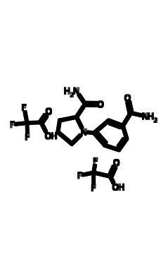 NC(=O)c1cccc(N2CCCC2C(N)=O)c1.O=C(O)C(F)(F)F.O=C(O)C(F)(F)F